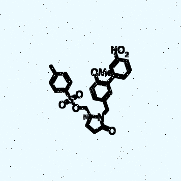 COc1ccc(CN2C(=O)CC[C@H]2COS(=O)(=O)c2ccc(C)cc2)cc1-c1cccc([N+](=O)[O-])c1